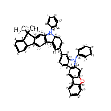 CC1(C)c2ccccc2-c2cc3c4cc(-c5ccc6c7cc8c(cc7n(-c7ccccc7)c6c5)oc5ccccc58)ccc4n(-c4ccccc4)c3cc21